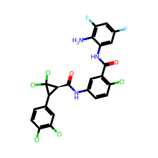 Nc1c(F)cc(F)cc1NC(=O)c1cc(NC(=O)[C@H]2C(c3ccc(Cl)c(Cl)c3)C2(Cl)Cl)ccc1Cl